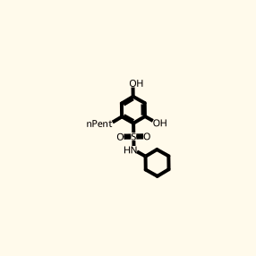 CCCCCc1cc(O)cc(O)c1S(=O)(=O)NC1CCCCC1